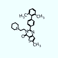 Cc1cc2nc(-c3ccc(-c4c(C)cccc4C)cc3)n(CCN3CCCCC3)c(=O)c2s1